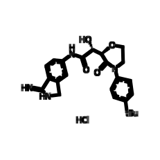 CC(C)(C)c1ccc(N2CCO[C@H]([C@@H](O)C(=O)Nc3ccc4c(c3)CNC4=N)C2=O)cc1.Cl